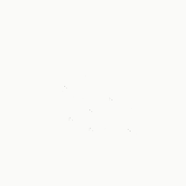 CC[C@@H](Nc1nc(Nc2ccc3c(c2)OCCO3)c(C(N)=O)c(=O)[nH]1)C(N)=O